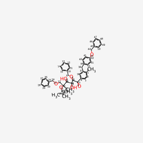 Cc1ccc(C(=O)[C@H](OCc2ccccc2)[C@@H](O)[C@H](O)C(C)(COCc2ccccc2)O[Si](C)(C)C)cc1Cc1ccc(OCc2ccccc2)cc1